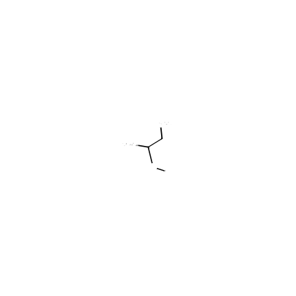 [CH2]COC(CNC)NC